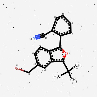 CC(C)(C)c1oc(-c2ccccc2C#N)c2ccc(CBr)cc12